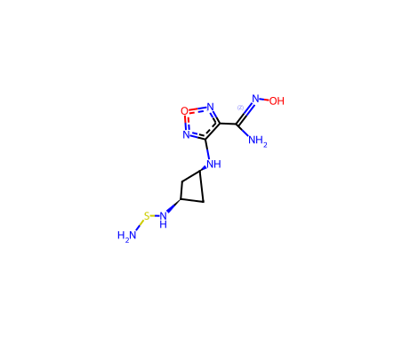 NSN[C@H]1C[C@@H](Nc2nonc2/C(N)=N/O)C1